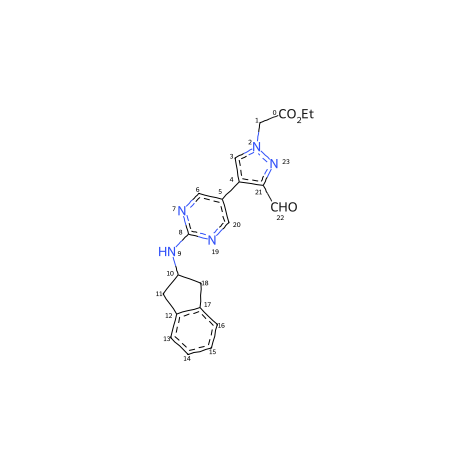 CCOC(=O)Cn1cc(-c2cnc(NC3Cc4ccccc4C3)nc2)c(C=O)n1